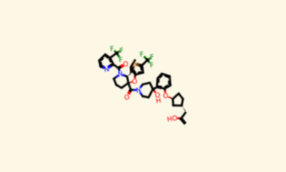 C=C(O)C[C@H]1CC[C@H](Oc2ccccc2C2(O)CCN(C(=O)[C@]3(Oc4csc(C(F)(F)F)c4)CCCN(C(=O)c4ncccc4C(F)(F)F)[C@@H]3CCC)CC2)C1